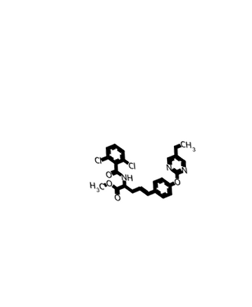 CCc1cnc(Oc2ccc(C=CCC(NC(=O)c3c(Cl)cccc3Cl)C(=O)OC)cc2)nc1